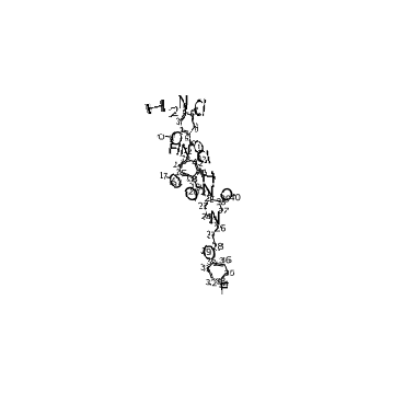 COc1cc(N)c(Cl)cc1C(=O)Nc1cc(OC)c(C(=O)NC2CCN(CCCOc3ccc(F)cc3)CC2OC)cc1Cl